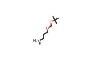 C[SiH2]CCCOCOC(C)(C)C